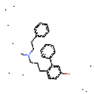 CN(CCCc1ccc(Br)cc1-c1ccccc1)CCc1ccccc1